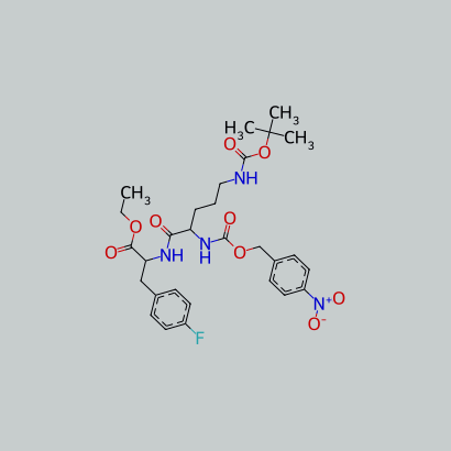 CCOC(=O)C(Cc1ccc(F)cc1)NC(=O)C(CCCNC(=O)OC(C)(C)C)NC(=O)OCc1ccc([N+](=O)[O-])cc1